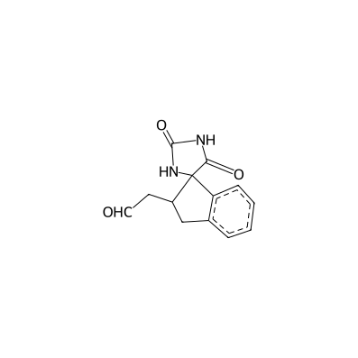 O=CCC1Cc2ccccc2C12NC(=O)NC2=O